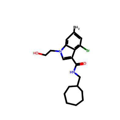 Bc1cc(Br)c2c(C(=O)NCC3CCCCCC3)cn(CCO)c2c1